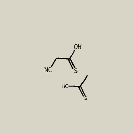 CC(O)=S.N#CCC(O)=S